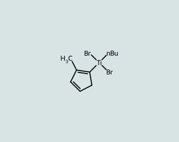 CCC[CH2][Ti]([Br])([Br])[C]1=C(C)C=CC1